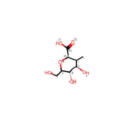 CC1[C@@H](O)[C@H](O)C(CO)O[C@H]1C(=O)O